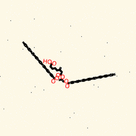 CC#CC#CC#CC#CC#CC#CC#CC#CC(=O)OCC(COC(=O)C#CC#CC#CC#CC#CC#CC#CC#CC)OC(=O)CC(C)CCCCC(=O)O